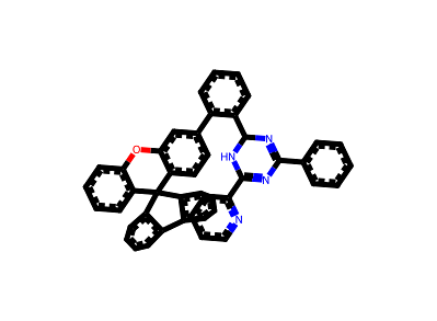 c1ccc(C2=NC(c3ccccc3-c3ccc4c(c3)Oc3ccccc3C43c4ccccc4-c4ccccc43)NC(c3ccccn3)=N2)cc1